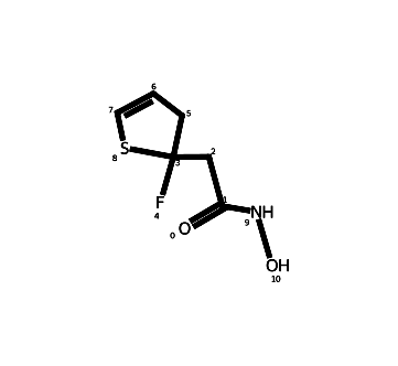 O=C(CC1(F)CC=CS1)NO